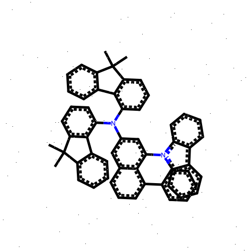 CC1(C)c2ccccc2-c2c(N(c3cc(-n4c5ccccc5c5ccccc54)c4c(-c5ccccc5)cccc4c3)c3cccc4c3-c3ccccc3C4(C)C)cccc21